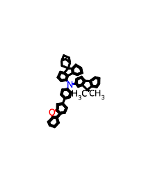 CC1(C)c2ccccc2-c2ccc(N(c3ccc(-c4ccc5c(c4)oc4ccccc45)cc3)c3cccc4c3-c3ccccc3C43CC4CCC3C4)cc21